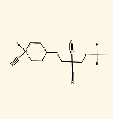 [C-]#[N+]C(C#N)(CCC1CCC(F)(C#C)CC1)CCC(C)(F)F